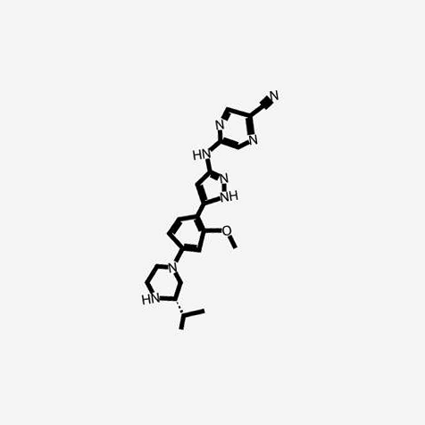 COc1cc(N2CCN[C@@H](C(C)C)C2)ccc1-c1cc(Nc2cnc(C#N)cn2)n[nH]1